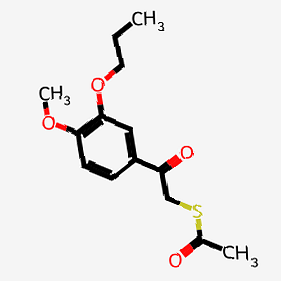 CCCOc1cc(C(=O)CSC(C)=O)ccc1OC